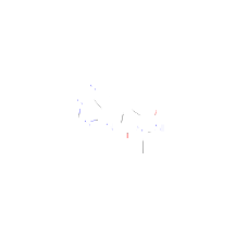 Cc1cc(Nc2cc(N)ncn2)c(=O)n2c1C(=O)NC21C=C(F)CCC1